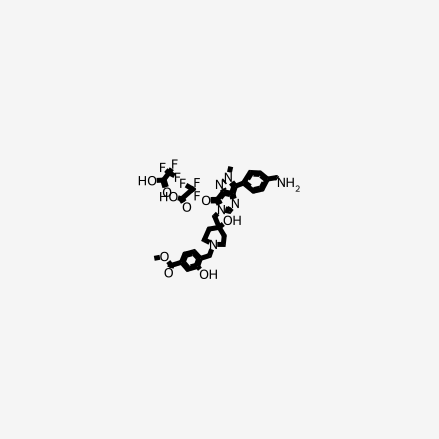 COC(=O)c1ccc(CN2CCC(O)(Cn3cnc4c(-c5ccc(CN)cc5)n(C)nc4c3=O)CC2)c(O)c1.O=C(O)C(F)(F)F.O=C(O)C(F)(F)F